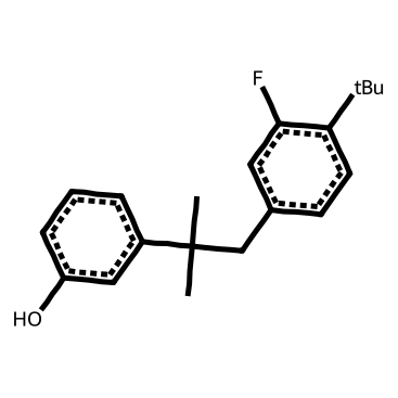 CC(C)(C)c1ccc(CC(C)(C)c2cccc(O)c2)cc1F